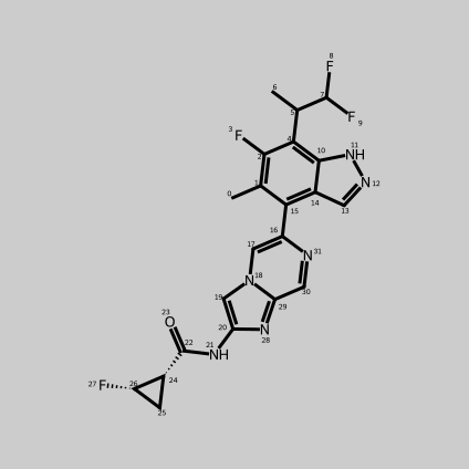 Cc1c(F)c(C(C)C(F)F)c2[nH]ncc2c1-c1cn2cc(NC(=O)[C@@H]3C[C@@H]3F)nc2cn1